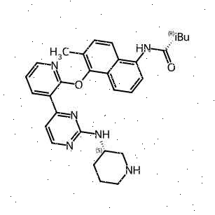 CC[C@@H](C)C(=O)Nc1cccc2c(Oc3ncccc3-c3ccnc(N[C@H]4CCCNC4)n3)c(C)ccc12